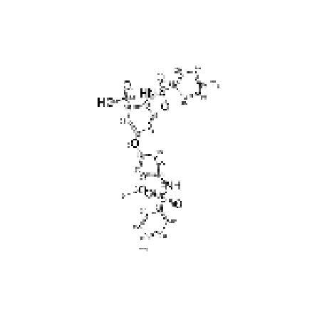 COc1cc(Oc2ccc(NS(=O)(=O)c3ccc(C)cc3)c(C(=O)O)c2)ccc1NS(=O)(=O)c1ccc(C)cc1